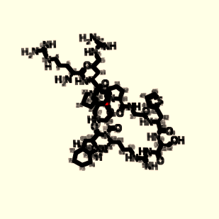 N=C(N)NCCC[C@@H](N)C(=O)N[C@@H](CCCNC(=N)N)C(=O)N1CCC[C@H]1C(=O)N1CCC[C@H]1C(=O)NCC(=O)N[C@@H](Cc1cccs1)C(=O)N[C@@H](CO)C(=O)NC(=N)NCCC[C@@H](C(=O)O)N(C(=O)C1C[C@@H]2CCCC[C@@H]2N1)C(=O)[C@H]1Cc2ccccc2CN1